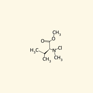 COC(=O)[C@H](C(C)C)N(C)Cl